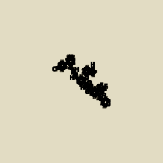 CC1(C)CCC(CNCCNc2ccc(C(=O)NS(=O)(=O)c3ccc(NCC4CCOCC4)c(S(=O)(=O)C(F)(F)F)c3)c(Oc3cccc4[nH]ccc34)c2)=C(c2ccc(Cl)cc2)C1